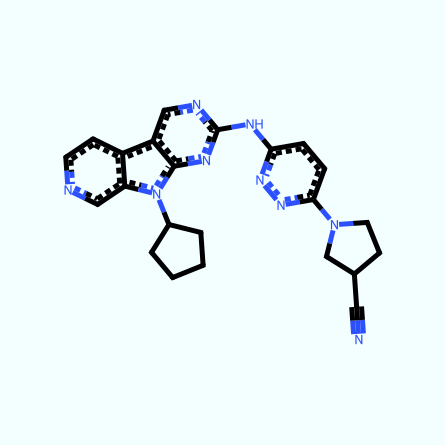 N#CC1CCN(c2ccc(Nc3ncc4c5ccncc5n(C5CCCC5)c4n3)nn2)C1